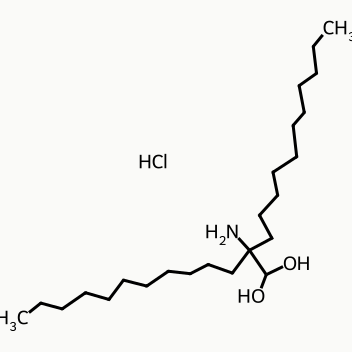 CCCCCCCCCCCC(N)(CCCCCCCCCCC)C(O)O.Cl